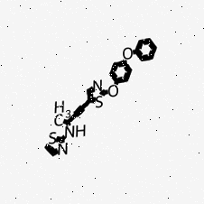 CC(C#Cc1cnc(Oc2ccc(Oc3ccccc3)cc2)s1)Nc1nccs1